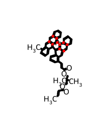 C/C=C/C(=O)OCC(C)(C)COC(=O)/C=C/c1cccc2c(-c3c(P(c4ccccc4)c4ccccc4)ccc4c(C)cccc34)c(P(c3ccccc3)c3ccccc3)ccc12